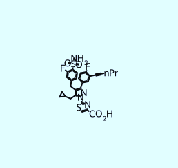 CCCC#Cc1cc(-c2nn(-c3nc(C(=O)O)cs3)c(CC3CC3)c2Cc2ccc(S(N)(=O)=O)c(F)c2)ccc1F